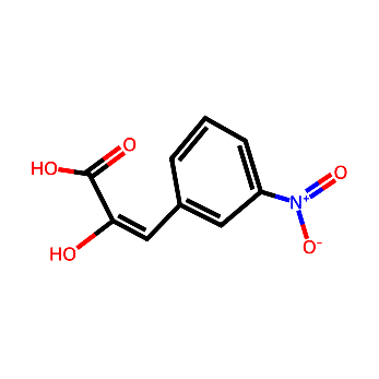 O=C(O)/C(O)=C\c1cccc([N+](=O)[O-])c1